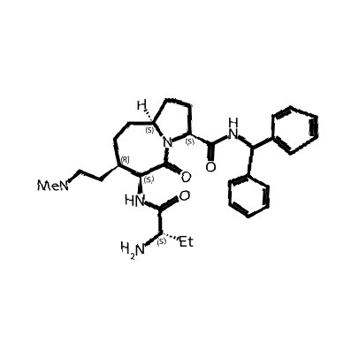 CC[C@H](N)C(=O)N[C@@H]1C(=O)N2[C@@H](CC[C@@H]1CCNC)CC[C@H]2C(=O)NC(c1ccccc1)c1ccccc1